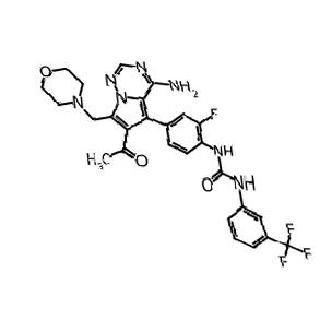 CC(=O)c1c(-c2ccc(NC(=O)Nc3cccc(C(F)(F)F)c3)c(F)c2)c2c(N)ncnn2c1CN1CCOCC1